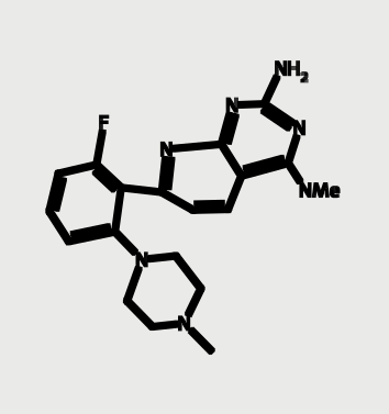 CNc1nc(N)nc2nc(-c3c(F)cccc3N3CCN(C)CC3)ccc12